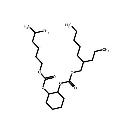 CCCCCC(CCC)COC(=O)OC1CCCCC1OC(=O)OCCCCC(C)C